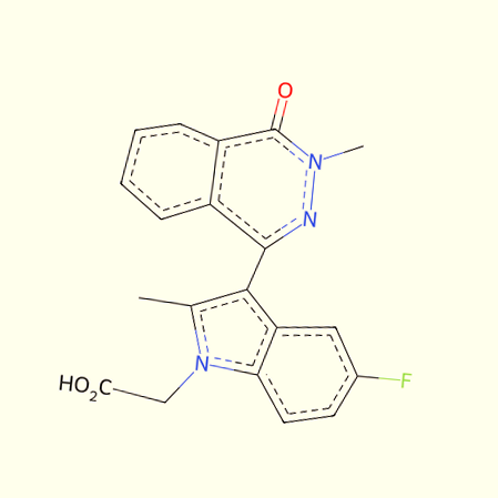 Cc1c(-c2nn(C)c(=O)c3ccccc23)c2cc(F)ccc2n1CC(=O)O